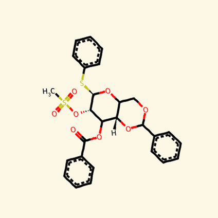 CS(=O)(=O)O[C@H]1C(OC(=O)c2ccccc2)[C@H]2OC(c3ccccc3)OCC2O[C@@H]1Sc1ccccc1